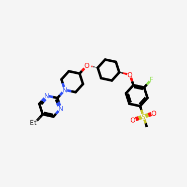 CCc1cnc(N2CCC(O[C@H]3CC[C@H](Oc4ccc(S(C)(=O)=O)cc4F)CC3)CC2)nc1